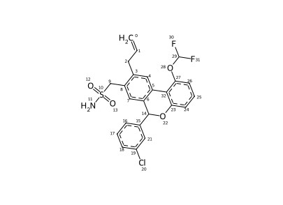 C=CCc1cc2c(cc1CS(N)(=O)=O)C(c1cccc(Cl)c1)Oc1cccc(OC(F)F)c1-2